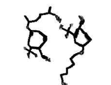 CC(O)CCC(C)Oc1ccc(C#N)c(C(F)(F)F)c1.N#Cc1ccc(OCCCCCO)cc1C(F)(F)F